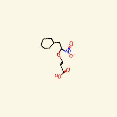 O=C(O)C=COC(CC1CCCCC1)[N+](=O)[O-]